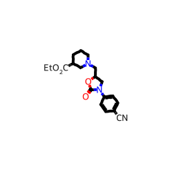 CCOC(=O)C1CCCN(CC2CN(c3ccc(C#N)cc3)C(=O)O2)C1